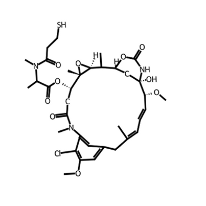 COc1cc2cc(c1Cl)N(C)C(=O)C[C@H](OC(=O)C(C)N(C)C(=O)CCS)[C@]1(C)O[C@H]1C(C)[C@@H]1C[C@@](O)(NC(=O)O1)[C@H](OC)/C=C/C=C(\C)C2